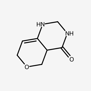 O=C1NCNC2=CCOCC12